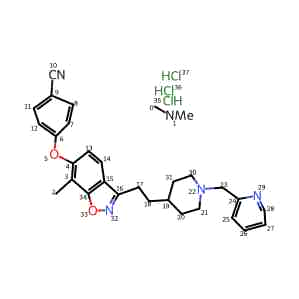 CNC.Cc1c(Oc2ccc(C#N)cc2)ccc2c(CCC3CCN(Cc4ccccn4)CC3)noc12.Cl.Cl.Cl